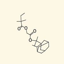 CCC(C)(C)C(=O)OCC(=O)OC(C)(C)C12CC3CC(CC(C3)C1C)C2